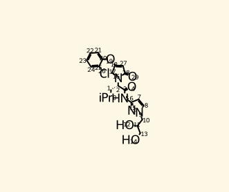 CC(C)C[C@@H](C(=O)Nc1ccn(C[C@H](O)CO)n1)N1CC(Oc2ccccc2Cl)=CC1=O